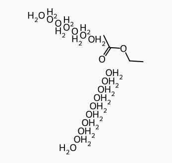 CCOC(C)=O.O.O.O.O.O.O.O.O.O.O.O.O.O.O.O.O.O